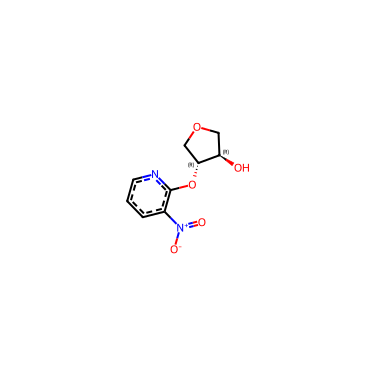 O=[N+]([O-])c1cccnc1O[C@@H]1COC[C@H]1O